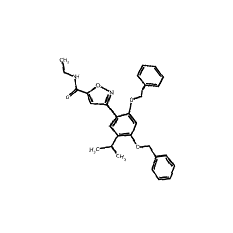 CCNC(=O)c1cc(-c2cc(C(C)C)c(OCc3ccccc3)cc2OCc2ccccc2)no1